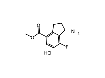 COC(=O)c1ccc(F)c2c1CC[C@@H]2N.Cl